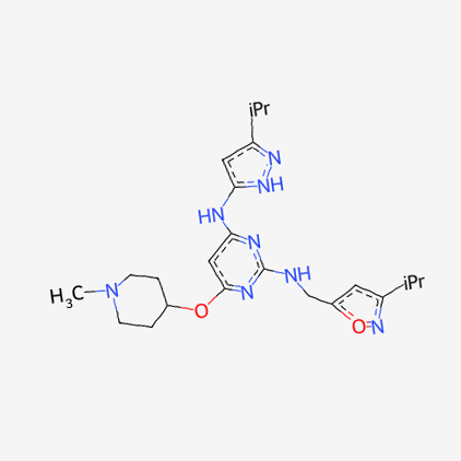 CC(C)c1cc(Nc2cc(OC3CCN(C)CC3)nc(NCc3cc(C(C)C)no3)n2)[nH]n1